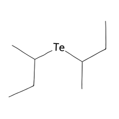 CCC(C)[Te]C(C)CC